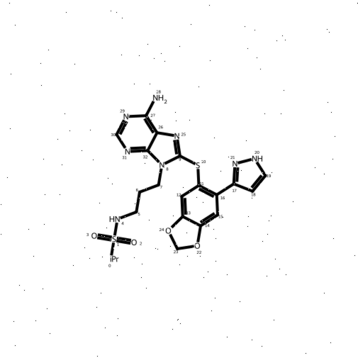 CC(C)S(=O)(=O)NCCCn1c(Sc2cc3c(cc2-c2cc[nH]n2)OCO3)nc2c(N)ncnc21